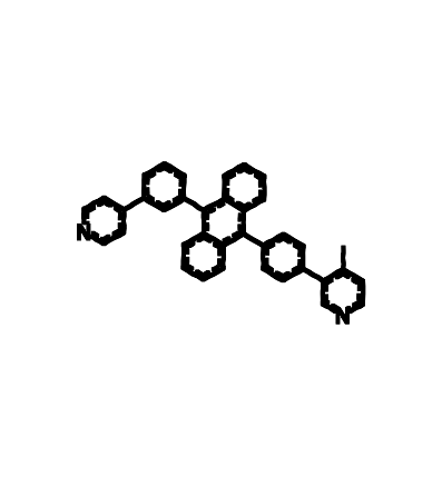 Cc1ccncc1-c1ccc(-c2c3ccccc3c(-c3cccc(-c4ccncc4)c3)c3ccccc23)cc1